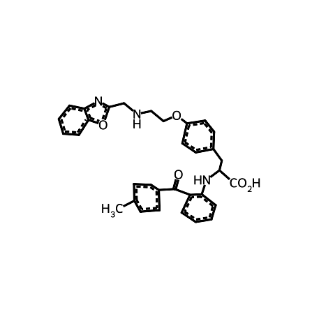 Cc1ccc(C(=O)c2ccccc2NC(Cc2ccc(OCCNCc3nc4ccccc4o3)cc2)C(=O)O)cc1